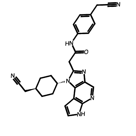 N#CCc1ccc(NC(=O)Cc2nc3cnc4[nH]ccc4c3n2[C@H]2CC[C@H](CC#N)CC2)cc1